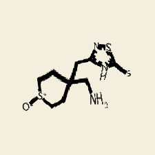 NCC1(Cc2nsc(=S)[nH]2)CC[S+]([O-])CC1